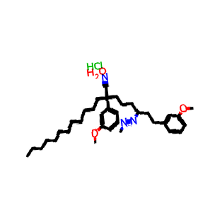 CCCCCCCCCCCCC(C#N)(CCCC(CCc1cccc(OC)c1)/N=N/C)c1cccc(OC)c1.Cl.O